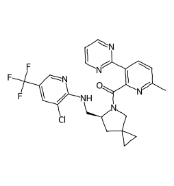 Cc1ccc(-c2ncccn2)c(C(=O)N2CC3(CC3)C[C@H]2CNc2ncc(C(F)(F)F)cc2Cl)n1